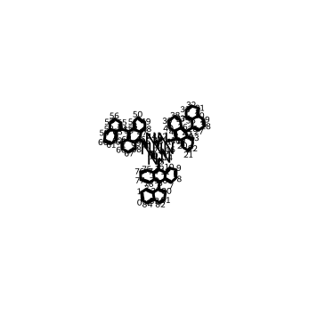 c1ccc2c(-c3c4ccccc4c(C4=NC5=NC(c6c7ccccc7c(-c7cccc8ccccc78)c7ccccc67)=NC6=NC(c7c8ccccc8c(-c8cccc9ccccc89)c8ccccc78)=NC(=N4)N56)c4ccccc34)cccc2c1